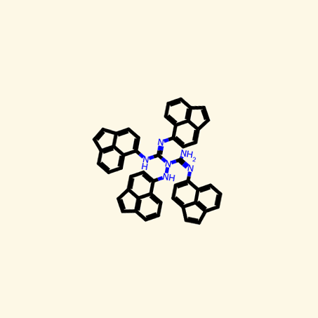 NC(=Nc1ccc2c3c(cccc13)C=C2)N(Nc1ccc2c3c(cccc13)C=C2)C(=Nc1ccc2c3c(cccc13)C=C2)Nc1ccc2c3c(cccc13)C=C2